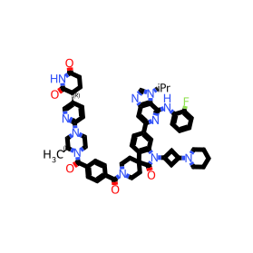 CC(C)n1cnc2cc(-c3ccc4c(c3)N(C3CC(N5CCCCC5)C3)C(=O)C43CCN(C(=O)c4ccc(C(=O)N5CCN(c6ccc([C@H]7CCC(=O)NC7=O)cn6)C[C@H]5C)cc4)CC3)nc(Nc3ccccc3F)c21